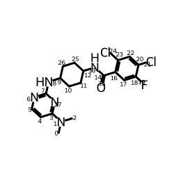 CN(C)c1ccnc(NC2CCC(NC(=O)c3cc(F)c(Cl)cc3Cl)CC2)n1